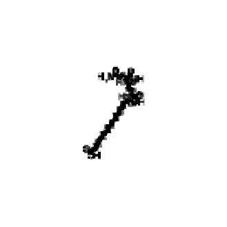 NC(=O)CC[C@H](NC(=O)CC[C@H](NC(=O)CCCCCCCCCCCCCCCCC(=O)O)C(=O)O)C(=O)O